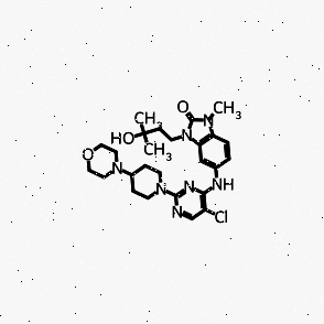 Cn1c(=O)n(CCC(C)(C)O)c2cc(Nc3nc(N4CCC(N5CCOCC5)CC4)ncc3Cl)ccc21